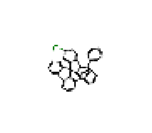 Clc1ccc2c(c1)C1(c3ccccc3-c3cccc(-c4ccccc4)c31)c1cccc(-c3ccccc3)c1-2